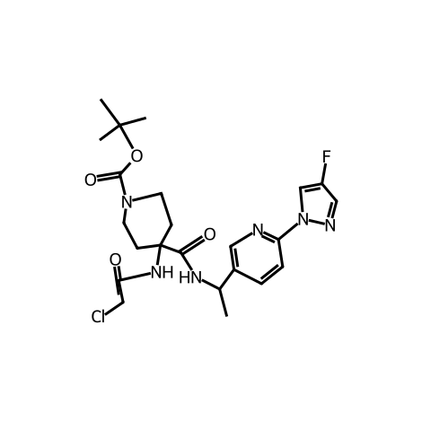 CC(NC(=O)C1(NC(=O)CCl)CCN(C(=O)OC(C)(C)C)CC1)c1ccc(-n2cc(F)cn2)nc1